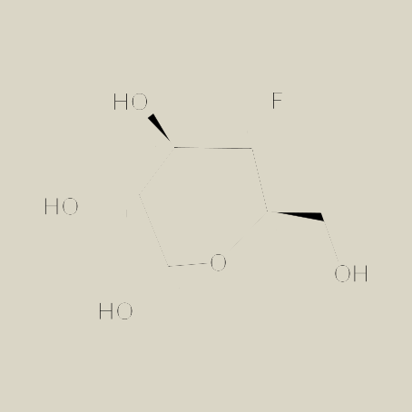 OC[C@H]1O[C@H](O)[C@H](O)[C@@H](O)[C@@H]1F